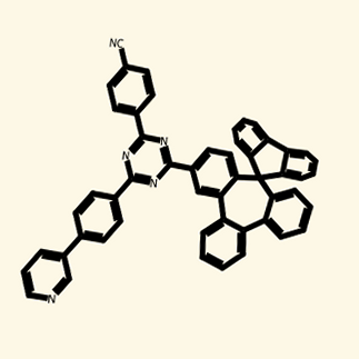 N#Cc1ccc(-c2nc(-c3ccc(-c4cccnc4)cc3)nc(-c3ccc4c(c3)-c3ccccc3-c3ccccc3C43c4ccccc4-c4ccccc43)n2)cc1